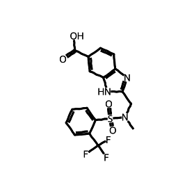 CN(Cc1nc2ccc(C(=O)O)cc2[nH]1)S(=O)(=O)c1ccccc1C(F)(F)F